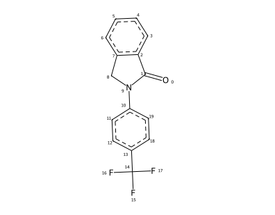 O=C1c2ccccc2CN1c1ccc(C(F)(F)F)cc1